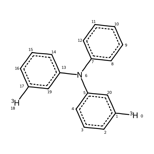 [3H]c1cccc(N(c2ccccc2)c2cccc([3H])c2)c1